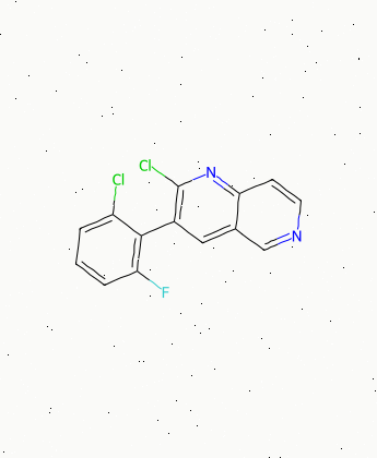 Fc1cccc(Cl)c1-c1cc2cnccc2nc1Cl